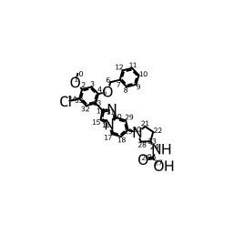 COc1cc(OCc2ccccc2)c(-c2cn3ccc(N4CCC(NC(=O)O)C4)cc3n2)cc1Cl